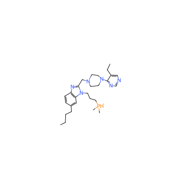 CCCCc1ccc2nc(CN3CCN(c4ncncc4CC)CC3)n(CCC[PH](C)(C)C)c2c1